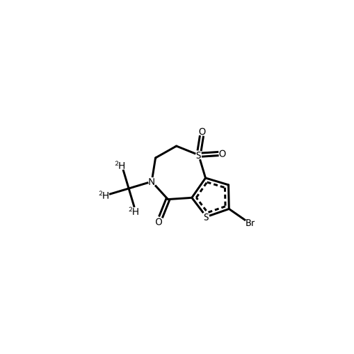 [2H]C([2H])([2H])N1CCS(=O)(=O)c2cc(Br)sc2C1=O